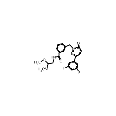 COC(CNC(=O)c1cccc(Cn2nc(-c3cc(F)cc(F)c3)ccc2=O)c1)OC